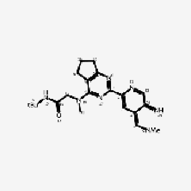 CN/C=C1/C=C(c2nc3c(c(N(C)CC(=O)NC(C)(C)C)n2)CCC3)N=CC1=N